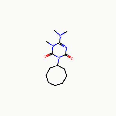 CN(C)c1nc(=O)n(C2CCCCCCC2)c(=O)n1C